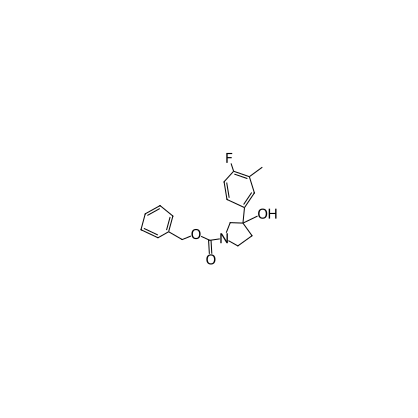 Cc1cc(C2(O)CCN(C(=O)OCc3ccccc3)C2)ccc1F